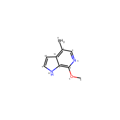 Bc1cnc(OC)c2[nH]ccc12